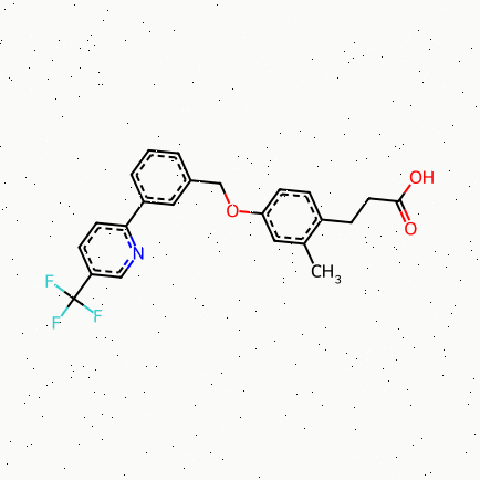 Cc1cc(OCc2cccc(-c3ccc(C(F)(F)F)cn3)c2)ccc1CCC(=O)O